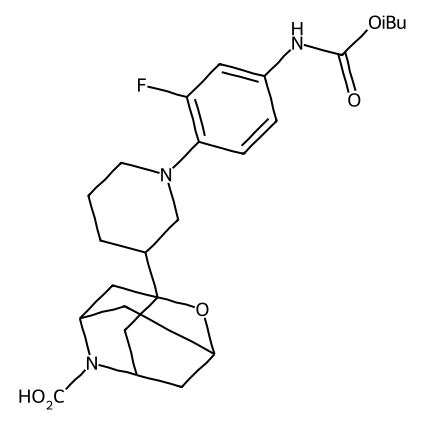 CC(C)COC(=O)Nc1ccc(N2CCCC(C34CC5CC(CC(C3)N5C(=O)O)O4)C2)c(F)c1